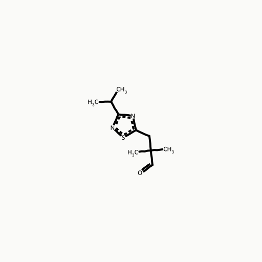 CC(C)c1nsc(CC(C)(C)C=O)n1